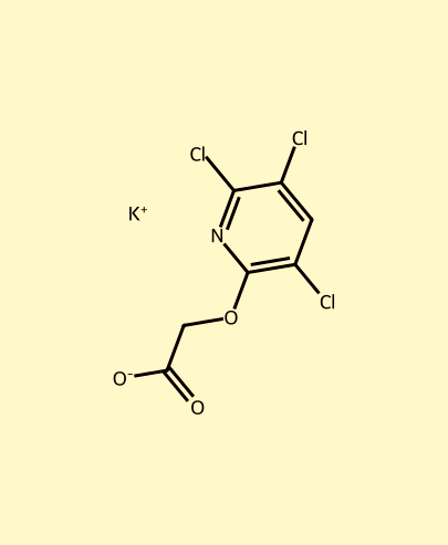 O=C([O-])COc1nc(Cl)c(Cl)cc1Cl.[K+]